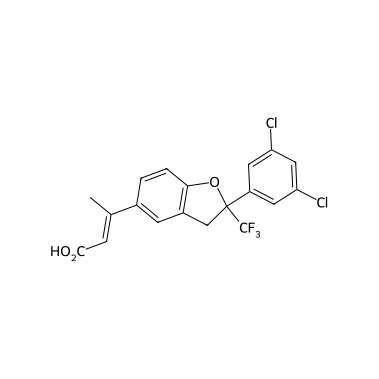 CC(=CC(=O)O)c1ccc2c(c1)CC(c1cc(Cl)cc(Cl)c1)(C(F)(F)F)O2